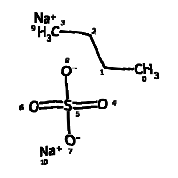 CCCC.O=S(=O)([O-])[O-].[Na+].[Na+]